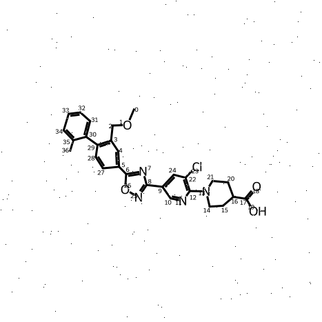 COCc1cc(-c2nc(-c3cnc(N4CCC(C(=O)O)CC4)c(Cl)c3)no2)ccc1-c1ccccc1C